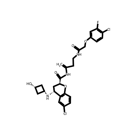 C=C(CCNC(=O)COc1ccc(Cl)c(F)c1)NC(=O)[C@@H]1C[C@@H](N[C@H]2C[C@@H](O)C2)c2cc(Cl)ccc2O1